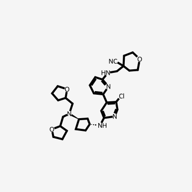 N#CC1(CNc2cccc(-c3cc(N[C@@H]4CC[C@@H](N(CC5CCCO5)CC5CCCO5)C4)ncc3Cl)n2)CCOCC1